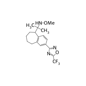 CONC(C)(C)C1CCCCc2cc(-c3noc(C(F)(F)F)n3)ccc21